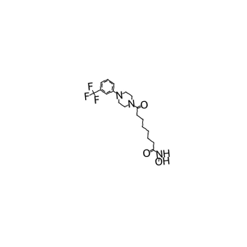 O=C(CCCCCCC(=O)N1CCN(c2cccc(C(F)(F)F)c2)CC1)NO